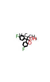 CC(C)C(C(=O)O)(c1ccc(F)cc1)c1ccc(F)cc1